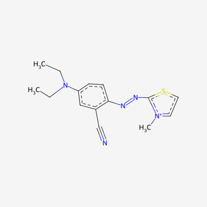 CCN(CC)c1ccc(N=Nc2scc[n+]2C)c(C#N)c1